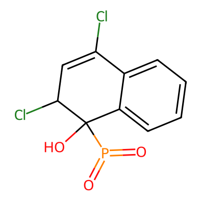 O=P(=O)C1(O)c2ccccc2C(Cl)=CC1Cl